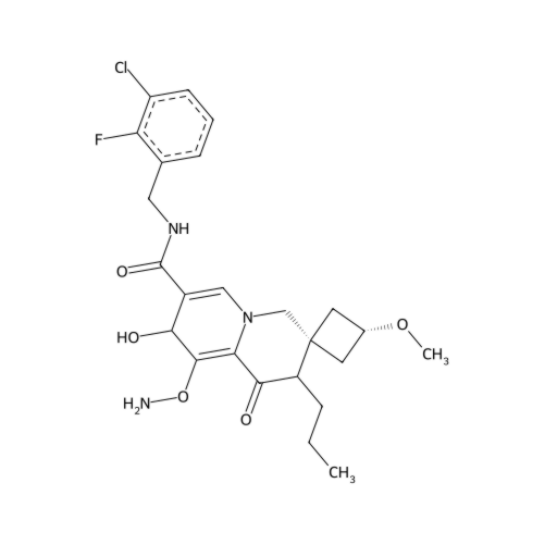 CCCC1C(=O)C2=C(ON)C(O)C(C(=O)NCc3cccc(Cl)c3F)=CN2C[C@]12C[C@@H](OC)C2